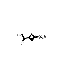 CCOC(=O)C12CC(C(N)=O)(C1)C2